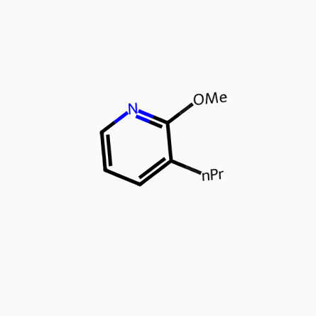 CCCc1cccnc1OC